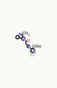 COc1cnc(Cl)cc1N1CC(CC(=O)N2Cc3c(C)nc4c(c3C2)CCC4)C1